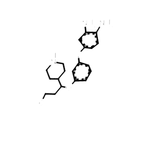 CCCC(Oc1cccc(Sc2ccc(N)c(N)c2)c1)C1CCNCC1